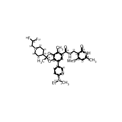 CCN(C)c1ccc(-c2cc(C(=O)NCc3c(SC)cc(C)[nH]c3=O)c(C)c3c2OC(C)(C2CCN(CC(F)F)CC2)O3)cn1